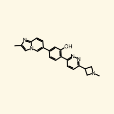 Cc1cn2cc(-c3ccc(-c4ccc(C5CN(C)C5)nn4)c(O)c3)ccc2n1